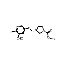 CC(C)(C)OC(=O)N1CC[C@@H](COc2cnc(Cl)c(C=O)c2)C1